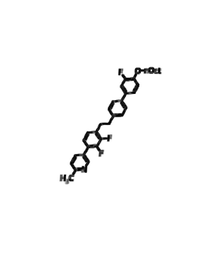 CCCCCCCCOc1ccc(-c2ccc(CCc3ccc(-c4ccc(C)nc4)c(F)c3F)cc2)cc1F